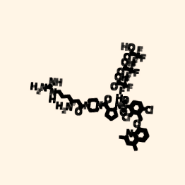 Cc1cc(C)c2cccc(OCc3c(Cl)ccc(S(=O)(=O)NC4CCCC4C(=O)N4CCN(C(=O)C[C@@H](N)CCCNC(=N)N)CC4)c3Cl)c2n1.O=C(O)C(F)(F)F.O=C(O)C(F)(F)F.O=C(O)C(F)(F)F